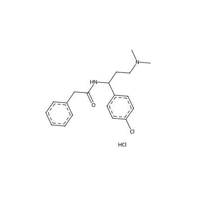 CN(C)CCC(NC(=O)Cc1ccccc1)c1ccc(Cl)cc1.Cl